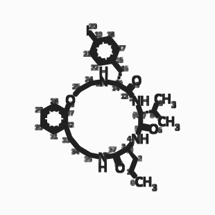 CCC[C@@H]1NC(=O)[C@@H](C(C)C)NC(=O)[C@@H](Cc2ccc(I)cc2)NCCOc2ccccc2CCCNC1=O